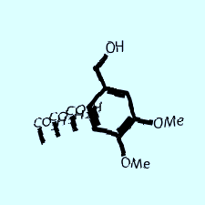 CC(=O)O.CC(=O)O.CC(=O)O.COc1ccc(CO)cc1OC